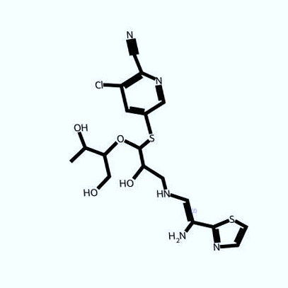 CC(O)C(CO)OC(Sc1cnc(C#N)c(Cl)c1)C(O)CN/C=C(\N)c1nccs1